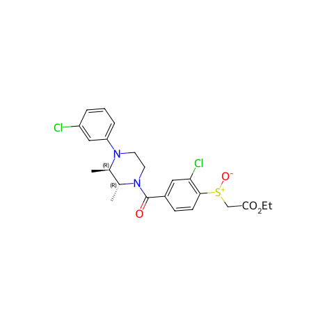 CCOC(=O)C[S+]([O-])c1ccc(C(=O)N2CCN(c3cccc(Cl)c3)[C@H](C)[C@H]2C)cc1Cl